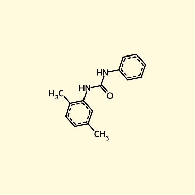 Cc1ccc(C)c(NC(=O)Nc2ccccc2)c1